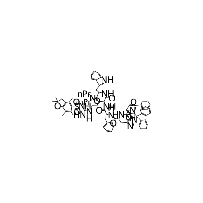 CCCN(CCC)C(=O)[C@@H](Cc1c[nH]c2ccccc12)NC(=O)[C@H](CCCNC(=N)NS(=O)(=O)c1c(C)c(C)c2c(c1C)CC(C)(C)O2)NC(=O)[C@@H](Cc1ccccc1)NC(=O)[C@H](Cc1cn(C(c2ccccc2)(c2ccccc2)c2ccccc2)cn1)NC(=O)CNC(=O)c1ccccc1